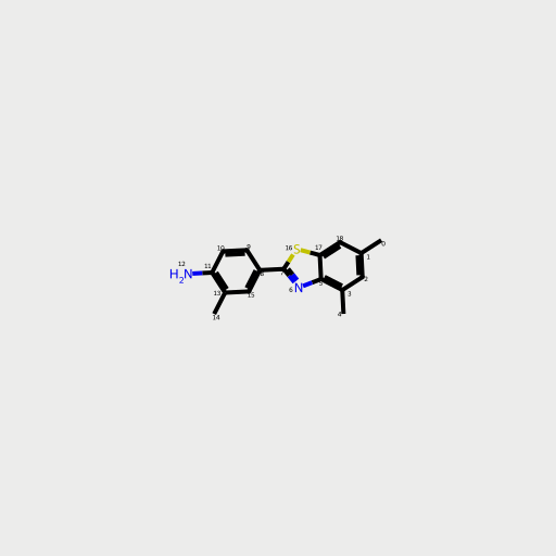 Cc1cc(C)c2nc(-c3ccc(N)c(C)c3)sc2c1